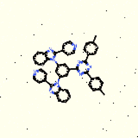 Cc1ccc(-c2nc(-c3ccc(C)cc3)nc(-c3cc(-n4c(-c5ccncc5)nc5ccccc54)cc(-n4c(-c5ccncc5)nc5ccccc54)c3)n2)cc1